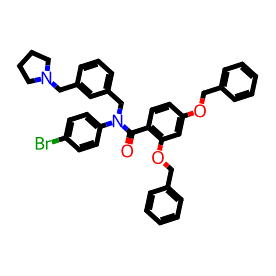 O=C(c1ccc(OCc2ccccc2)cc1OCc1ccccc1)N(Cc1cccc(CN2CCCC2)c1)c1ccc(Br)cc1